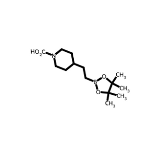 CC1(C)OB(CCC2CCN(C(=O)O)CC2)OC1(C)C